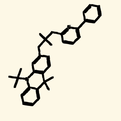 CC(C)(Cc1ccc2c(c1)N(C(C)(C)C)c1ccccc1C2(C)C)Cc1cccc(-c2ccccc2)n1